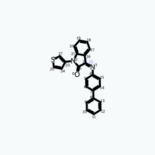 O=C1/C(=N\c2ccc(-c3ccccc3)cc2)c2ccccc2N1c1ccsc1